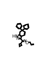 C=CCON=C(c1n[nH]c2c1C=CC(c1ccccc1)(c1ccccc1)C2)C1CCC1